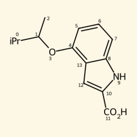 CC(C)C(C)Oc1cccc2[nH]c(C(=O)O)cc12